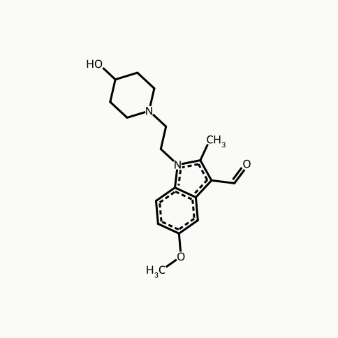 COc1ccc2c(c1)c(C=O)c(C)n2CCN1CCC(O)CC1